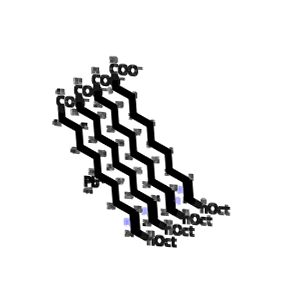 CCCCCCCC/C=C/CCCCCCCC(=O)[O-].CCCCCCCC/C=C/CCCCCCCC(=O)[O-].CCCCCCCC/C=C/CCCCCCCC(=O)[O-].CCCCCCCC/C=C/CCCCCCCC(=O)[O-].[Pb+4]